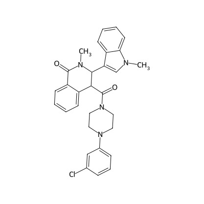 CN1C(=O)c2ccccc2C(C(=O)N2CCN(c3cccc(Cl)c3)CC2)C1c1cn(C)c2ccccc12